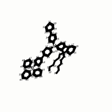 CCCCCCC1(CCCCCC)c2ccccc2-c2ccc(N(c3ccc(-c4ccccc4)cc3)c3ccc(-c4ccc([Si](c5ccccc5)(c5ccccc5)c5ccccc5)cc4)cc3)cc21